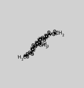 C=CC(=O)OCCC(=O)c1ccc(C(=O)Oc2ccc3c(c2)C(C)(C)c2cc(OC(=O)c4ccc(C(=O)OCOC(=O)C=C)cc4)ccc2-3)cc1